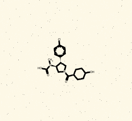 CN(C(=O)O)[C@@H]1CN(C(=O)C2CCC(O)CC2)C[C@H]1c1ccc(Cl)cc1